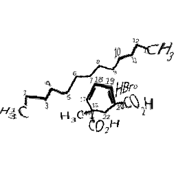 Br.CCCCCCCCCCCCC.C[C@]1(C(=O)O)C=CC=C(C(=O)O)C1